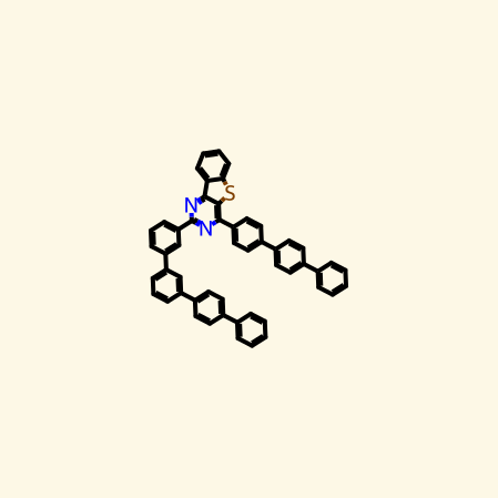 c1ccc(-c2ccc(-c3ccc(-c4nc(-c5cccc(-c6cccc(-c7ccc(-c8ccccc8)cc7)c6)c5)nc5c4sc4ccccc45)cc3)cc2)cc1